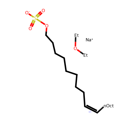 CCCCCCCC/C=C\CCCCCCCCOS(=O)(=O)[O-].CCOCC.[Na+]